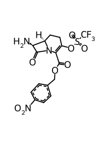 N[C@@H]1C(=O)N2C(C(=O)OCc3ccc([N+](=O)[O-])cc3)=C(OS(=O)(=O)C(F)(F)F)CC[C@H]12